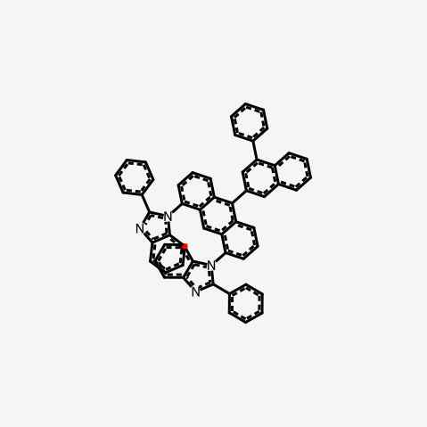 c1ccc(-c2cc(-c3c4cccc(-n5c(-c6ccccc6)nc6ccccc65)c4cc4c(-n5c(-c6ccccc6)nc6ccccc65)cccc34)cc3ccccc23)cc1